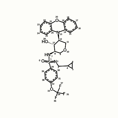 O=S(=NCC1CC1)(N[C@@H]1COC[C@H](N2c3ccccc3Oc3ccccc32)[C@H]1O)c1ccc(OC(F)(F)F)cc1